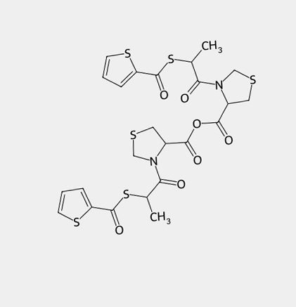 CC(SC(=O)c1cccs1)C(=O)N1CSCC1C(=O)OC(=O)C1CSCN1C(=O)C(C)SC(=O)c1cccs1